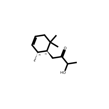 CC(O)C(=O)C[C@H]1[C@H](C)C=CCC1(C)C